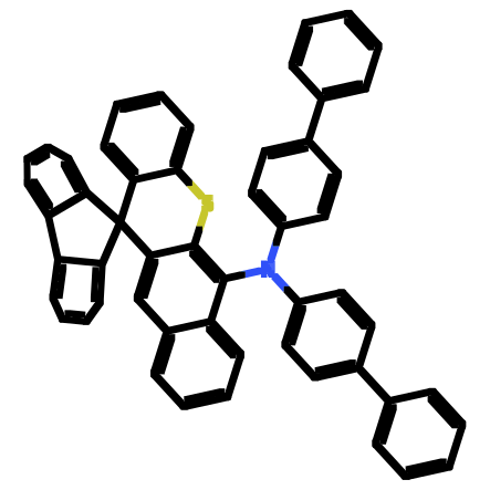 c1ccc(-c2ccc(N(c3ccc(-c4ccccc4)cc3)c3c4c(cc5ccccc35)C3(c5ccccc5S4)c4ccccc4-c4ccccc43)cc2)cc1